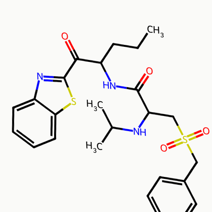 CCCC(NC(=O)C(CS(=O)(=O)Cc1ccccc1)NC(C)C)C(=O)c1nc2ccccc2s1